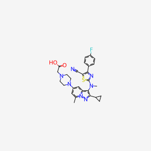 Cc1cc(N2CCN(CC(=O)O)CC2)cc2c(N(C)c3nc(-c4ccc(F)cc4)c(C#N)s3)c(C3CC3)nn12